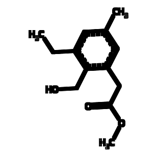 CCc1cc(C)cc(CC(=O)OC)c1CO